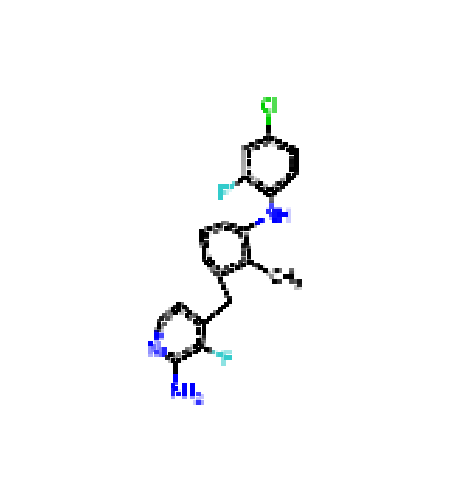 Cc1c(Cc2ccnc(N)c2F)cccc1Nc1ccc(Cl)cc1F